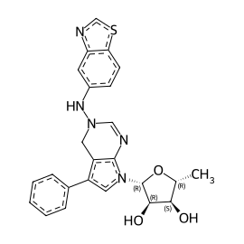 C[C@H]1O[C@@H](n2cc(-c3ccccc3)c3c2N=CN(Nc2ccc4scnc4c2)C3)[C@H](O)[C@@H]1O